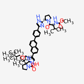 COC(=O)N[C@H](C(=O)N1CCC[C@H]1c1nc(-c2ccc(-c3ccc4cc(-c5cnc([C@@]6(C(C)(C)C)CCCN6C(=O)O)n5COCC[Si](C)(C)C)ccc4c3)cc2)c[nH]1)C(C)C